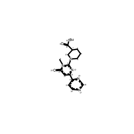 Cn1c(N2CCCC(C(=O)C(C)(C)C)C2)nc(-c2ccncn2)cc1=O